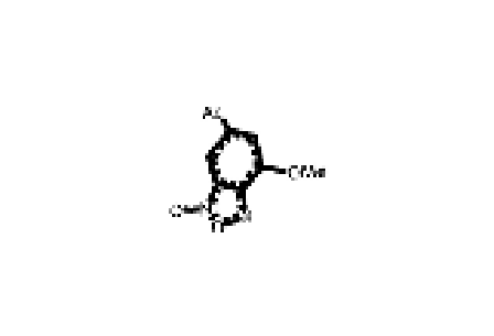 COc1cc(C(C)=O)cc2c1no[n+]2[O-]